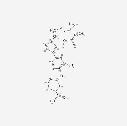 CCCC1(N(C)C(=O)OCc2c(-c3ccc(O[C@H]4CCC[C@H](C(=O)O)C4)c(C)n3)nnn2C)CC1